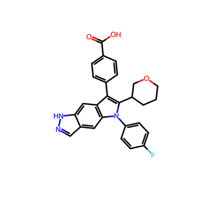 O=C(O)c1ccc(-c2c(C3CCCOC3)n(-c3ccc(F)cc3)c3cc4cn[nH]c4cc23)cc1